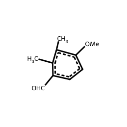 COc1ccc([C]=O)c(C)c1C